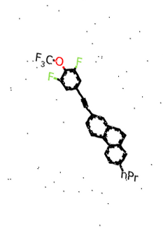 CCCc1ccc2c(ccc3cc(C#Cc4cc(F)c(OC(F)(F)F)c(F)c4)ccc32)c1